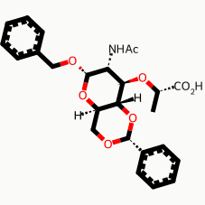 CC(=O)N[C@H]1[C@@H](OCc2ccccc2)O[C@@H]2CO[C@@H](c3ccccc3)O[C@H]2[C@@H]1O[C@@H](C)C(=O)O